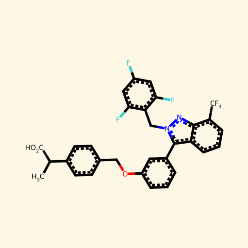 CC(C(=O)O)c1ccc(COc2cccc(-c3c4cccc(C(F)(F)F)c4nn3Cc3c(F)cc(F)cc3F)c2)cc1